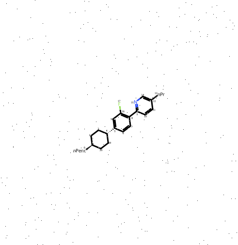 CCCCC[C@H]1CC[C@H](c2ccc(-c3ccc(CCC)cn3)c(F)c2)CC1